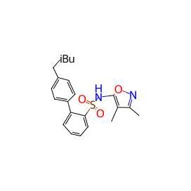 CCC(C)Cc1ccc(-c2ccccc2S(=O)(=O)Nc2onc(C)c2C)cc1